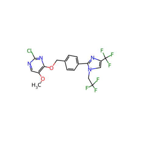 COc1cnc(Cl)nc1OCc1ccc(-c2nc(C(F)(F)F)cn2CC(F)(F)F)cc1